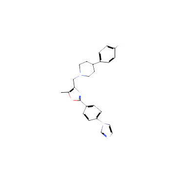 Cc1oc(-c2ccc(-n3ccnc3)cc2)nc1CN1CCC(c2ccc(Cl)cc2)CC1